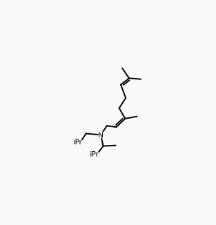 CC(C)=CCC/C(C)=C\CN(CC(C)C)C(C)C(C)C